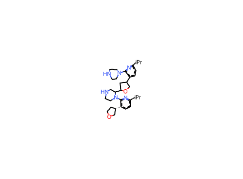 CC(C)c1ccc(C2COC(C3CNCCN3c3nc(C(C)C)ccc3[C@H]3CCOC3)C2)c(N2CCNCC2)n1